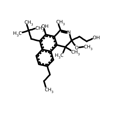 CCCc1ccc2c(CC(C)(C)C)c(O)c3c(c2c1)C(C)(C)C(CCO)(OC)N=C3C